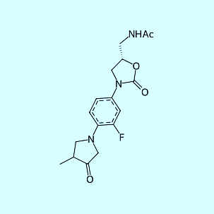 CC(=O)NC[C@H]1CN(c2ccc(N3CC(=O)C(C)C3)c(F)c2)C(=O)O1